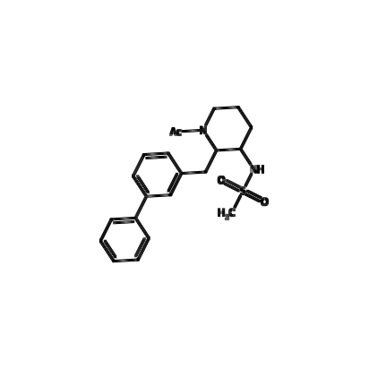 CC(=O)N1CCCC(NS(C)(=O)=O)C1Cc1cccc(-c2ccccc2)c1